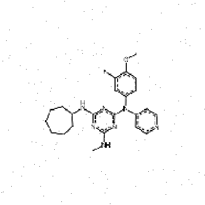 CNc1nc(NC2CCCCCC2)nc(N(c2ccncc2)c2ccc(OC)c(F)c2)n1